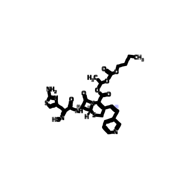 CCCCOC(=O)OC(C)OC(=O)C1=C(/C=C\c2cccnc2)CS[C@H]2[C@H](NC(=O)C(=NO)c3csc(N)n3)C(=O)N12